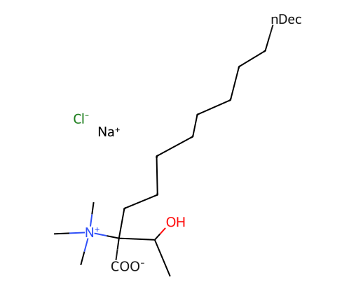 CCCCCCCCCCCCCCCCCCC(C(=O)[O-])(C(C)O)[N+](C)(C)C.[Cl-].[Na+]